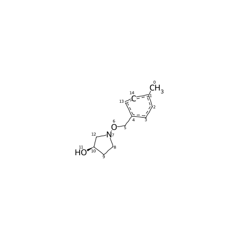 Cc1ccc(CON2CC[C@@H](O)C2)cc1